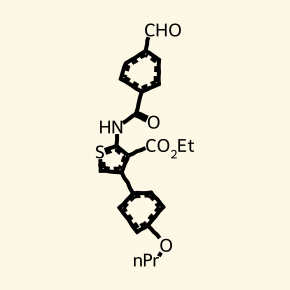 CCCOc1ccc(-c2csc(NC(=O)c3ccc(C=O)cc3)c2C(=O)OCC)cc1